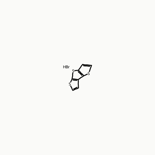 Br.c1cc2c(s1)sc1ccsc12